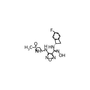 CS(=N)(=O)CCNc1nonc1/C(=N\O)N[C@H]1Cc2ccc(F)cc21